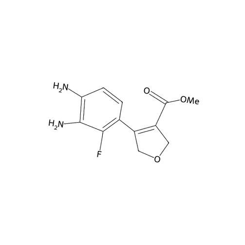 COC(=O)C1=C(c2ccc(N)c(N)c2F)COC1